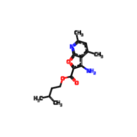 Cc1cc(C)c2c(N)c(C(=O)OCCC(C)C)oc2n1